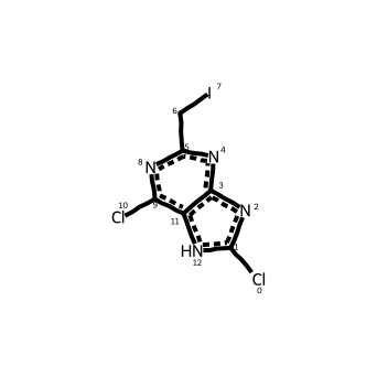 Clc1nc2nc(CI)nc(Cl)c2[nH]1